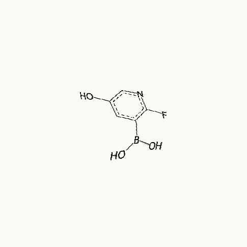 OB(O)c1cc(O)cnc1F